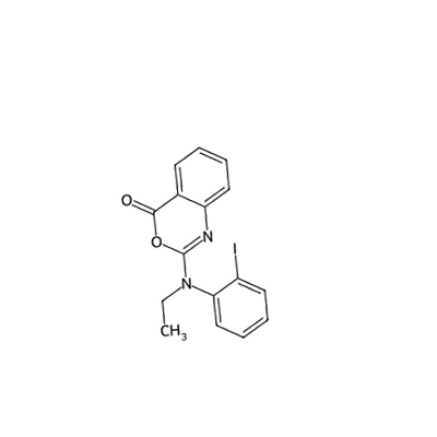 CCN(c1nc2ccccc2c(=O)o1)c1ccccc1I